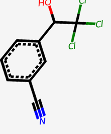 N#Cc1cccc(C(O)C(Cl)(Cl)Cl)c1